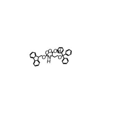 O=C(NC(CCOC(c1ccccc1)(c1ccccc1)c1ccccc1)C(=O)O)OCC1c2ccccc2-c2ccccc21